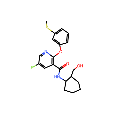 CSc1cccc(Oc2ncc(F)cc2C(=O)NC2CCCCC2CO)c1